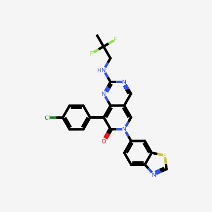 CC(F)(F)CNc1ncc2cn(-c3ccc4ncsc4c3)c(=O)c(-c3ccc(Cl)cc3)c2n1